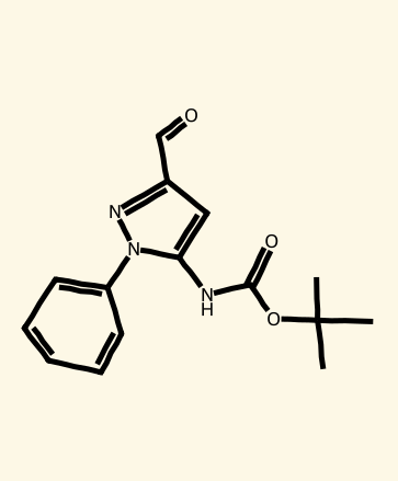 CC(C)(C)OC(=O)Nc1cc(C=O)nn1-c1ccccc1